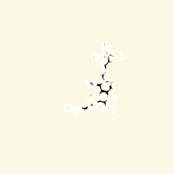 CC(CON=CC(=O)O)NC1=C(C(F)(F)F)C(=C=O)N(COCC[Si](C)(C)C)N=C1